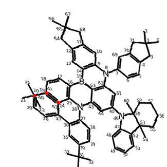 CC1(C)Cc2ccc(N3c4cc5c(cc4B4c6ccc(C(C)(C)C)cc6N(c6ccc(C(C)(C)C)cc6-c6ccccc6)c6cc(N7c8ccccc8C8(C)CCCCC78C)cc3c64)CC(C)(C)C5)cc2C1